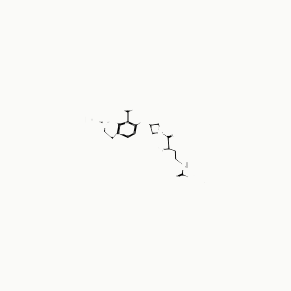 CC(=O)NCCC(N)C(=O)N1CC(Oc2ccc3c(c2C(=O)O)OB(O)CC3)C1